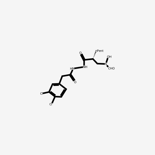 CCCCC[C@H](CN(O)C=O)C(=O)NNC(=O)Cc1ccc(Cl)c(Cl)c1